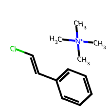 C[N+](C)(C)C.ClC=Cc1ccccc1